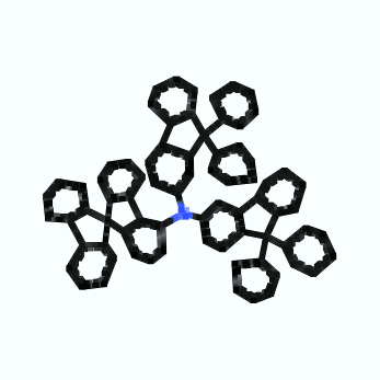 c1ccc(C2(c3ccccc3)c3ccccc3-c3cc(N(c4ccc5c(c4)C(c4ccccc4)(c4ccccc4)c4ccccc4-5)c4cccc5c4-c4ccccc4C54c5ccccc5-c5ccccc54)ccc32)cc1